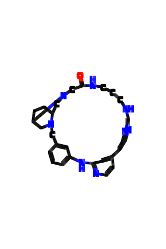 O=C1CN2CC3CCC2CN3Cc2cccc(c2)Nc2cc(ccn2)-c2cnc(nc2)NCCCN1